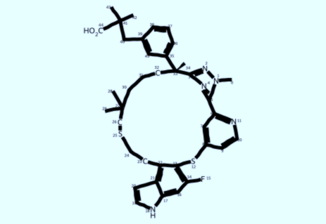 Cn1nc2nc1-c1cc(ccn1)Sc1c(F)cc3[nH]ccc3c1CCSCC(C)(C)CCC[C@]2(C)c1cccc(CC(C)(C)C(=O)O)c1